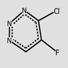 Fc1cnnnc1Cl